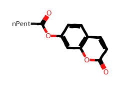 CCCCCC(=O)Oc1ccc2ccc(=O)oc2c1